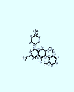 CC(=O)N1CCN(c2nc(C)nc3c(F)c(-c4c(O)cccc4F)c(Cl)cc23)CC1